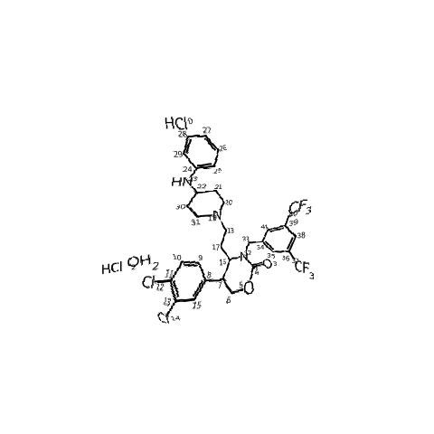 Cl.Cl.O.O=C1OCC(c2ccc(Cl)c(Cl)c2)C(CCN2CCC(Nc3ccccc3)CC2)N1Cc1cc(C(F)(F)F)cc(C(F)(F)F)c1